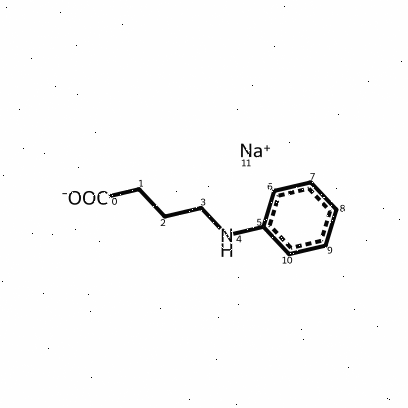 O=C([O-])CCCNc1ccccc1.[Na+]